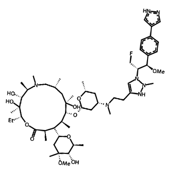 CC[C@H]1OC(=O)[C@H](C)C([C@H]2C[C@@](C)(OC)[C@@H](O)[C@H](C)O2)[C@H](C)[C@@H](O[C@H]2C[C@@H](N(C)CCC3=CN([C@H](CF)[C@H](OC)c4ccc(-c5cn[nH]c5)cc4)N(C)N3)C[C@@H](C)O2)[C@](C)(O)C[C@@H](C)CN(C)[C@H](C)[C@@H](O)[C@]1(C)O